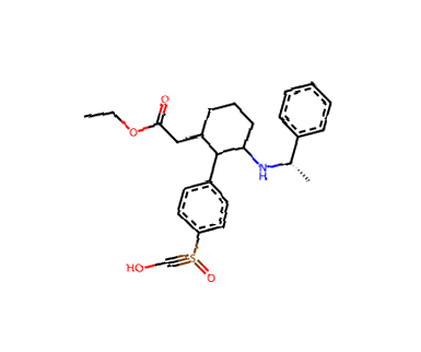 CCOC(=O)CC1CCCC(N[C@@H](C)c2ccccc2)C1c1ccc(S(=O)#CO)cc1